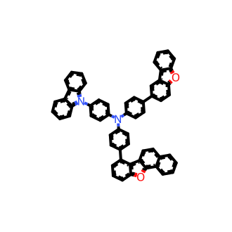 c1ccc2c(c1)ccc1c2oc2cccc(-c3ccc(N(c4ccc(-c5ccc6oc7ccccc7c6c5)cc4)c4ccc(-n5c6ccccc6c6ccccc65)cc4)cc3)c21